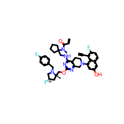 C#Cc1c(F)ccc2cc(O)cc(N3CCc4c(nc(OC[C@]5(C)C[C@@H](F)CN5Cc5ccc(F)cc5)nc4NCC4(N(C)C(=O)C=C)CCCC4)C3)c12